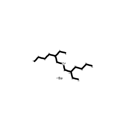 CCCCC(CC)COCC(CC)CCCC.[Ba]